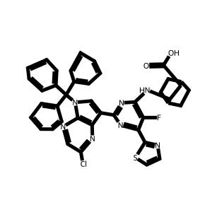 O=C(O)C1C2CCC(CC2)C1Nc1nc(-c2cn(C(c3ccccc3)(c3ccccc3)c3ccccc3)c3ncc(Cl)nc23)nc(-c2nccs2)c1F